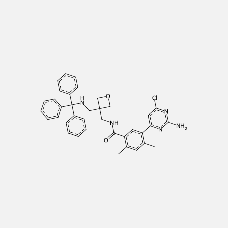 Cc1cc(C)c(-c2cc(Cl)nc(N)n2)cc1C(=O)NCC1(CNC(c2ccccc2)(c2ccccc2)c2ccccc2)COC1